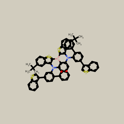 CC(C)(C)c1ccc2sc3c(c2c1)N(c1cc(-c2csc4ccccc24)ccc1-c1ccccc1)c1cccc2c1B3c1sc3ccc(C(C)(C)C)cc3c1N2c1cc(-c2csc3ccccc23)ccc1-c1ccccc1